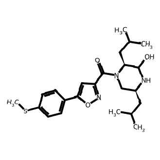 CSc1ccc(-c2cc(C(=O)N3C[C@H](CC(C)C)NC(O)[C@@H]3CC(C)C)no2)cc1